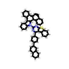 c1c2ccccc2c2c(c#1)c1ccccc1c1c3ccccc3n(-c3nc(-c4ccc(-c5ccc6ccccc6c5)cc4)c4c(n3)sc3ccccc34)c21